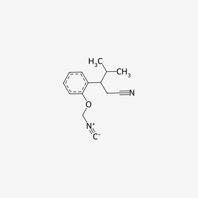 [C-]#[N+]COc1ccccc1C(CC#N)C(C)C